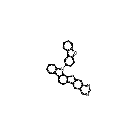 c1ccc2c(c1)oc1ccc(-n3c4ccccc4c4ccc5c6cc7cncnc7cc6sc5c43)cc12